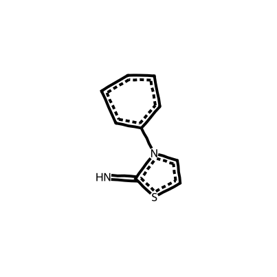 N=c1sccn1-c1ccccc1